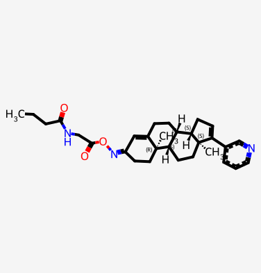 CCCC(=O)NCC(=O)ON=C1C=C2CC[C@H]3[C@H](CC[C@]4(C)C(c5cccnc5)=CC[C@@H]34)[C@@]2(C)CC1